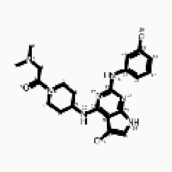 CN(C)CC(=O)N1CCC(Nc2nc(Nc3cccc(Cl)c3)nc3[nH]cc(Cl)c23)CC1